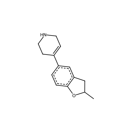 CC1Cc2cc(C3=CCNCC3)ccc2O1